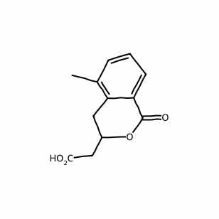 Cc1cccc2c1CC(CC(=O)O)OC2=O